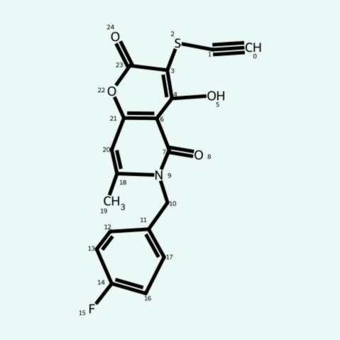 C#CSc1c(O)c2c(=O)n(Cc3ccc(F)cc3)c(C)cc2oc1=O